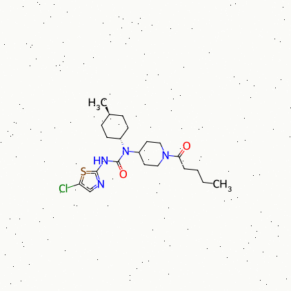 CCCCC(=O)N1CCC(N(C(=O)Nc2ncc(Cl)s2)[C@H]2CC[C@H](C)CC2)CC1